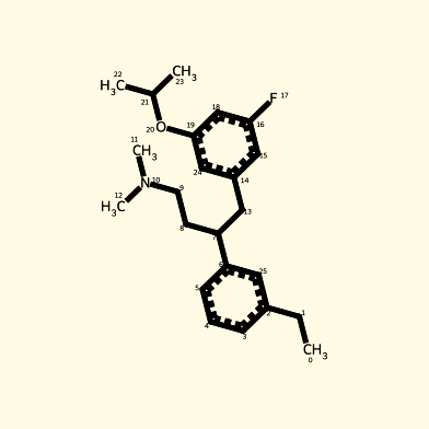 CCc1cccc(C(CCN(C)C)Cc2cc(F)cc(OC(C)C)c2)c1